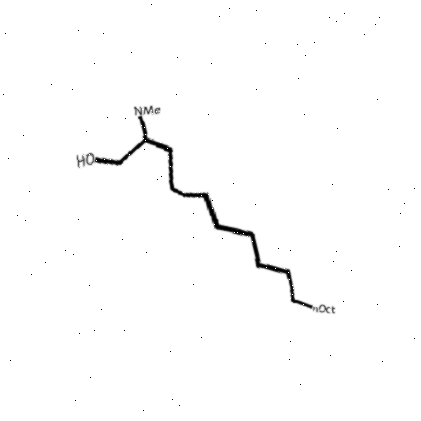 CCCCCCCCCCCCCCCCC(CO)NC